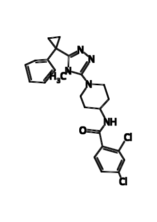 Cn1c(N2CCC(NC(=O)c3ccc(Cl)cc3Cl)CC2)nnc1C1(c2ccccc2)CC1